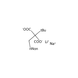 CCCCCCCCCCC(C(=O)[O-])(C(=O)[O-])C(C)(C)C.[Li+].[Na+]